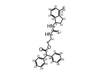 O=C(OCCNC(=S)NC1CCc2c(F)cccc21)C(c1ccccc1)c1ccccc1